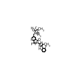 Cc1nc(NC(=O)c2cc(CNC(=O)C(C)(C)C)cnc2C(F)F)[nH]c1-c1ccccc1F